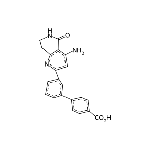 Nc1cc(-c2cccc(-c3ccc(C(=O)O)cc3)c2)nc2c1C(=O)NCC2